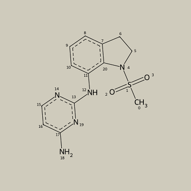 CS(=O)(=O)N1CCc2cccc(Nc3nccc(N)n3)c21